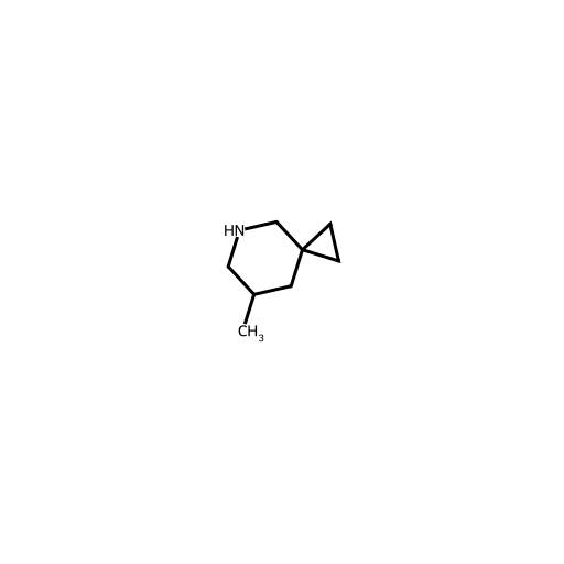 CC1CNCC2(CC2)C1